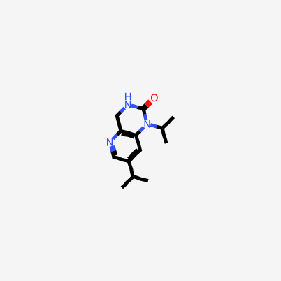 CC(C)c1cnc2c(c1)N(C(C)C)C(=O)NC2